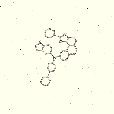 c1ccc(-c2ccc(N(c3ccc4sccc4c3)c3ccc4ccc5ccc6nc(-c7ccccc7)oc6c5c4c3)cc2)cc1